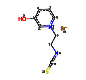 Oc1ccc[n+](CCN=C=S)c1.[Br-]